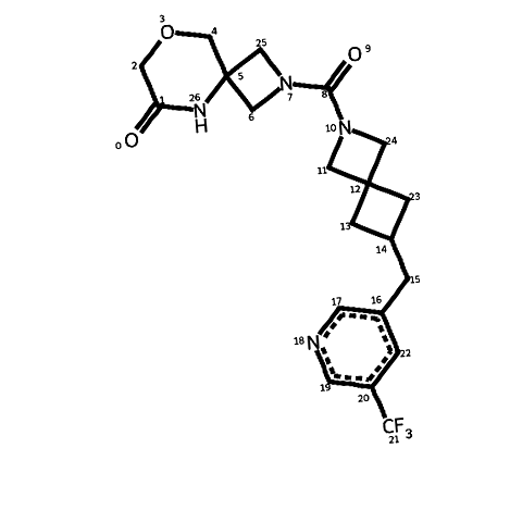 O=C1COCC2(CN(C(=O)N3CC4(CC(Cc5cncc(C(F)(F)F)c5)C4)C3)C2)N1